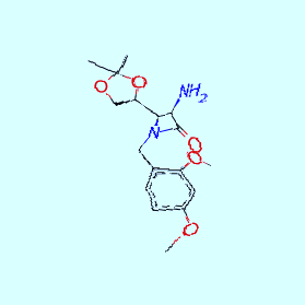 COc1ccc(CN2C(=O)[C@H](N)[C@@H]2[C@H]2COC(C)(C)O2)c(OC)c1